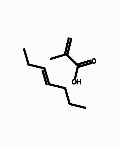 C=C(C)C(=O)O.CC/C=C/CCC